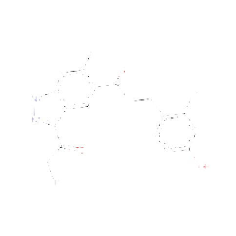 CCc1cc(O)ccc1CCC(=O)c1cc2c(C(=O)CC(C)C)n[nH]c2cc1C